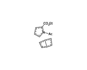 CCOC(=O)c1cccn1C(C)=O.c1cc2ccc1-2